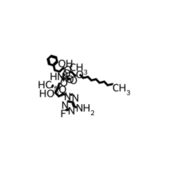 C#C[C@]1(CO[P@](=O)(NC(Cc2ccccc2)C(=O)O)OC(C)C(=O)OCCCCCCCCC)O[C@@H](n2cnc3c(N)nc(F)nc32)C[C@@H]1O